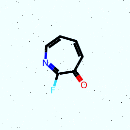 O=c1ccccnc1F